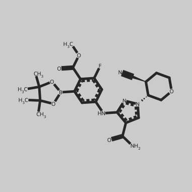 COC(=O)c1c(F)cc(Nc2nn([C@H]3COCC[C@@H]3C#N)cc2C(N)=O)cc1B1OC(C)(C)C(C)(C)O1